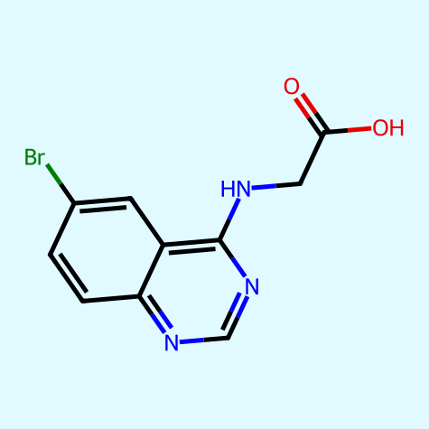 O=C(O)CNc1ncnc2ccc(Br)cc12